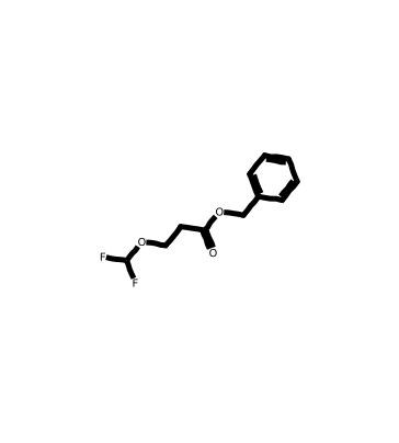 O=C(CCOC(F)F)OCc1ccccc1